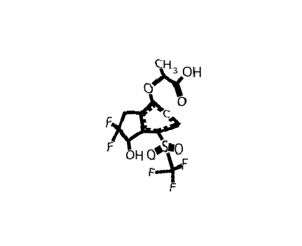 CC(Oc1ccc(S(=O)(=O)C(F)(F)F)c2c1CC(F)(F)C2O)C(=O)O